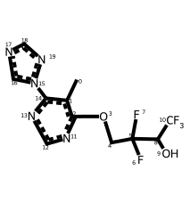 Cc1c(OCC(F)(F)C(O)C(F)(F)F)ncnc1-n1cncn1